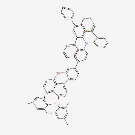 Cc1cc(C)c(B(c2c(C)cc(C)cc2C)c2ccc3c4c(cccc24)Oc2cc(-c4ccc(N(c5ccccc5-c5ccccc5)c5c(F)cc(-c6ccccc6)cc5-c5ccccc5)cc4)ccc2-3)c(C)c1